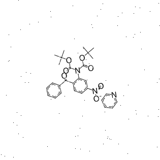 CC(C)(C)OC(=O)N(C(=O)OC(C)(C)C)c1cc([N+](=O)[O-])ccc1C(=O)c1ccccc1.c1ccncc1